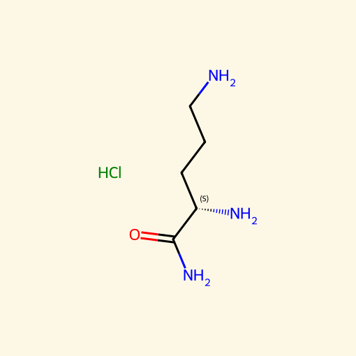 Cl.NCCC[C@H](N)C(N)=O